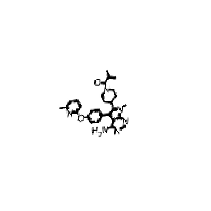 C=C(C)C(=O)N1CCC(c2c(-c3ccc(Oc4cccc(C)n4)cc3)c3c(N)ncnc3n2C)CC1